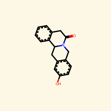 O=C1Cc2ccccc2C2Cc3cc(O)ccc3CN12